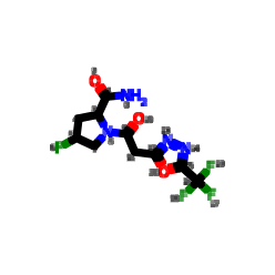 NC(=O)C1CC(F)CN1C(=O)Cc1nnc(C(F)(F)F)o1